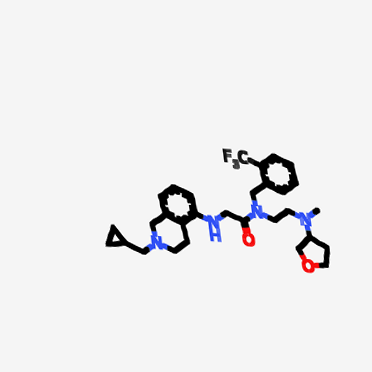 CN(CCN(Cc1ccccc1C(F)(F)F)C(=O)CNc1cccc2c1CCN(CC1CC1)C2)C1CCOC1